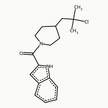 CC(C)(Cl)CC1CCN(C(=O)c2cc3ccccc3[nH]2)CC1